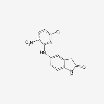 O=C1Cc2cc(Nc3nc(Cl)ccc3[N+](=O)[O-])ccc2N1